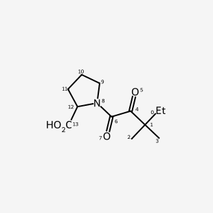 CCC(C)(C)C(=O)C(=O)N1CCCC1C(=O)O